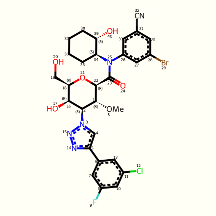 CO[C@@H]1[C@@H](n2cc(-c3cc(F)cc(Cl)c3)nn2)[C@@H](O)[C@@H](CO)O[C@H]1C(=O)N(c1cc(Br)cc(C#N)c1)[C@H]1CCCC[C@@H]1O